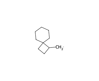 [CH2]C1CCC12CCCCC2